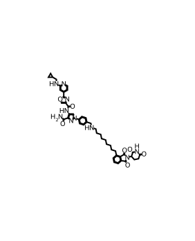 NC(=O)c1nn(-c2ccc(CNCCCCCCCCCc3cccc4c3C(=O)N(C3CCC(=O)NC3=O)C4=O)cc2)cc1NC(=O)c1coc(-c2ccnc(NCC3CC3)c2)n1